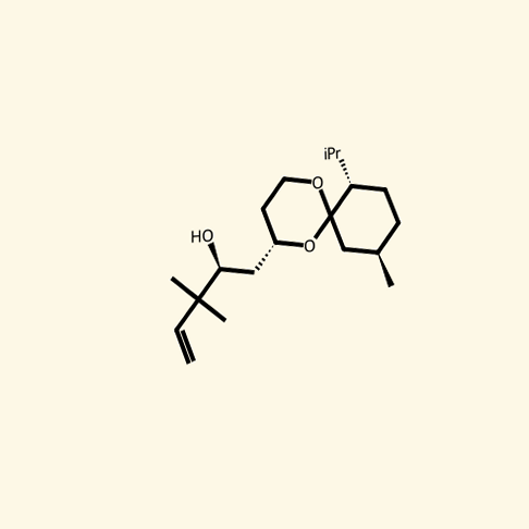 C=CC(C)(C)[C@@H](O)C[C@@H]1CCOC2(C[C@H](C)CC[C@H]2C(C)C)O1